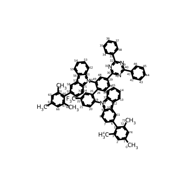 Cc1cc(C)c(-c2ccc3c(c2)c2ccccc2n3-c2ccc(C(F)(F)F)cc2-c2ccc(-c3nc(-c4ccccc4)nc(-c4ccccc4)n3)cc2-n2c3ccccc3c3cc(-c4c(C)cc(C)cc4C)ccc32)c(C)c1